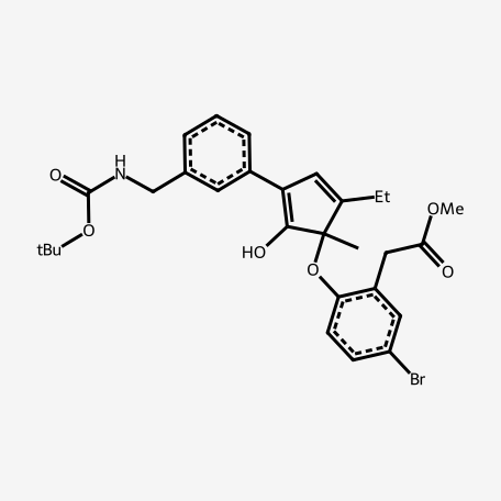 CCC1=CC(c2cccc(CNC(=O)OC(C)(C)C)c2)=C(O)C1(C)Oc1ccc(Br)cc1CC(=O)OC